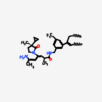 CN/C=C(\CNC)c1cc(CNC(=O)C(C)/C=C(\C=C(\C)N)N2CC[C@@](C)(C3CC3)C2=O)cc(C(F)(F)F)c1